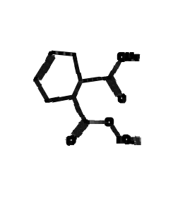 CCCCCCCCOC(=O)C1CC=CCC1C(=O)OC